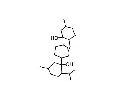 CC1CCC(C(C)C)C(O)(C2CCC(C3(O)CC(C)CCC3C(C)C)CC2)C1